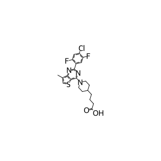 Cc1csc2c(N3CCC(CCCC(=O)O)CC3)nc(-c3cc(F)c(Cl)cc3F)nc12